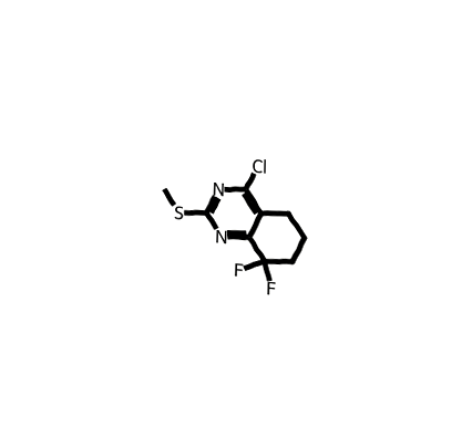 CSc1nc(Cl)c2c(n1)C(F)(F)CCC2